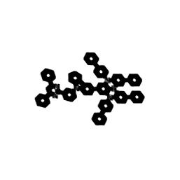 c1ccc(-c2ccc(N3c4ccc(-c5ccccc5)cc4B4c5cc(-c6ccccc6)ccc5N(c5ccc(-c6ccccc6)cc5)c5cc(-c6ccc7c(c6)c6ccccc6n7-c6cccc(-c7nc(-c8ccccc8)cc(-c8ccccc8)n7)c6)cc3c54)cc2)cc1